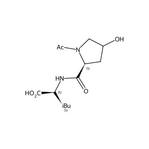 CC[C@H](C)[C@H](NC(=O)[C@@H]1CC(O)CN1C(C)=O)C(=O)O